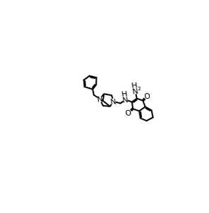 NC1=C(NCN2CC3CC2CN3Cc2ccccc2)C(=O)C2=CCCC=C2C1=O